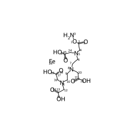 NOC(=O)CN(CCN(CCN(CC(=O)O)CC(=O)O)CC(=O)O)CC(=O)O.[Fe]